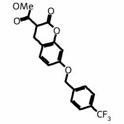 COC(=O)C1Cc2ccc(OCc3ccc(C(F)(F)F)cc3)cc2OC1=O